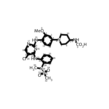 COc1cc(N2CCC(NC(=O)O)CC2)ccc1Nc1ncc(Cl)c(Nc2ccccc2N(C)S(C)(=O)=O)n1